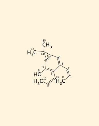 C/C=C\c1cc2c(c(O)c1/C=C\C)C2(C)C